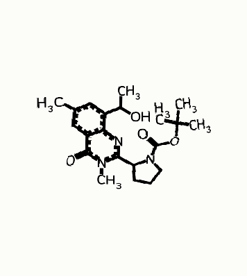 Cc1cc(C(C)O)c2nc(C3CCCN3C(=O)OC(C)(C)C)n(C)c(=O)c2c1